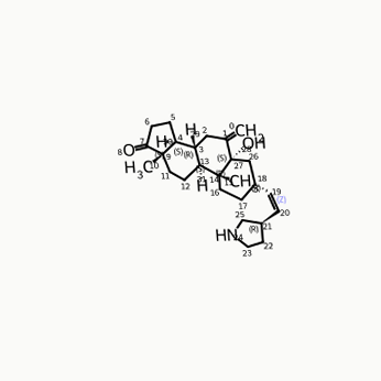 C=C1C[C@H]2[C@@H]3CCC(=O)[C@@]3(C)CC[C@@H]2[C@@]2(C)CC[C@@H](/C=C\[C@H]3CCNC3)C[C@]12O